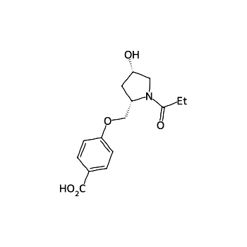 CCC(=O)N1C[C@@H](O)C[C@H]1COc1ccc(C(=O)O)cc1